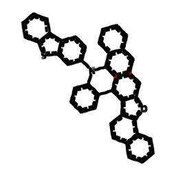 c1ccc(N(c2ccc3c(c2)sc2ccccc23)c2cccc3ccccc23)c(-c2cccc3oc4c5ccccc5ccc4c23)c1